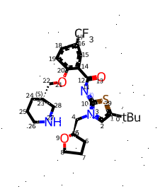 CC(C)(C)c1cn(C[C@H]2CCCO2)/c(=N/C(=O)c2cc(C(F)(F)F)ccc2OC[C@H]2CCCNC2)s1